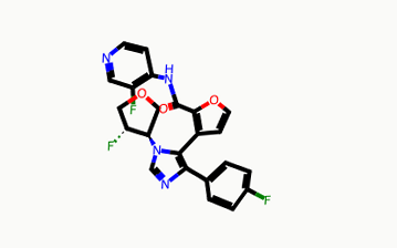 O=C(Nc1ccncc1F)c1occc1-c1c(-c2ccc(F)cc2)ncn1[C@@H]1COC[C@H]1F